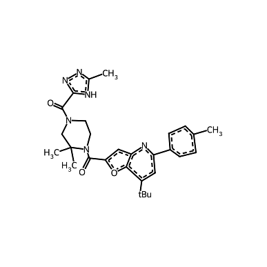 Cc1ccc(-c2cc(C(C)(C)C)c3oc(C(=O)N4CCN(C(=O)c5nnc(C)[nH]5)CC4(C)C)cc3n2)cc1